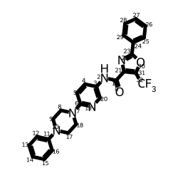 O=C(Nc1ccc(N2CCN(c3ccccc3)CC2)nc1)c1nc(-c2ccccc2)oc1C(F)(F)F